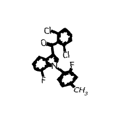 Cc1ccc(-n2cc(C(=O)c3c(Cl)cccc3Cl)c3cccc(F)c32)c(F)c1